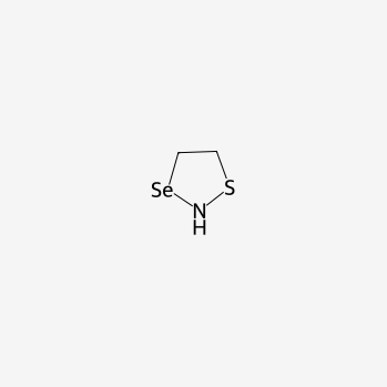 C1C[Se]NS1